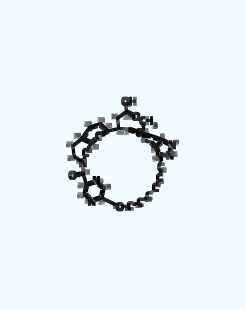 Cc1c2ccc3c1nnn3CCCCCCOc1cnc(cn1)C(=O)N1CCc3ccc(cc3C1)C2CC(=O)O